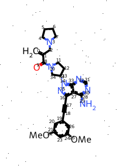 C=C(CN1CCCC1)C(=O)N1CC[C@H](n2nc(C#Cc3cc(OC)cc(OC)c3)c3c(N)ncnc32)C1